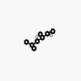 c1ccc(-c2cc(-c3ccc4c(c3)Oc3cccc5c(-c6ccc7c(c6)oc6ccccc67)ccc-4c35)c3ccccc3c2)cc1